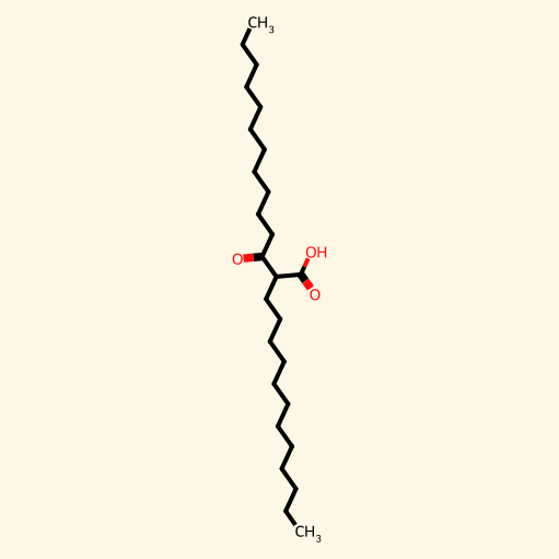 CCCCCCCCCCCCC(C(=O)O)C(=O)CCCCCCCCCCC